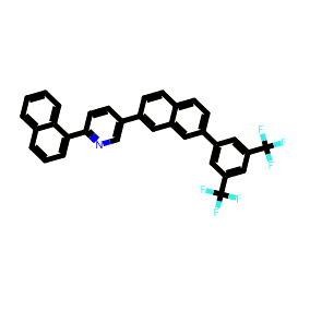 FC(F)(F)c1cc(-c2ccc3ccc(-c4ccc(-c5cccc6ccccc56)nc4)cc3c2)cc(C(F)(F)F)c1